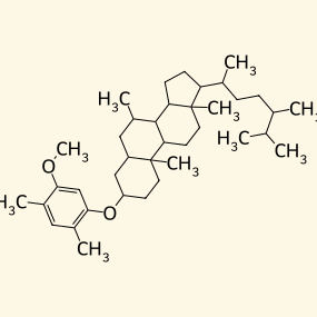 COc1cc(OC2CCC3(C)C(C2)CC(C)C2C3CCC3(C)C(C(C)CCC(C)C(C)C)CCC23)c(C)cc1C